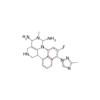 Cc1ncn(-c2ccc(N3C4=C(CNCC4c4ccccc4)C(N)N(C)C3N)cc2F)n1